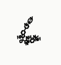 Cc1nc2cc(-n3ncc(C(=O)c4cc5cc(-c6ccc(N7CCN(C)CC7)nc6)ccc5[nH]4)c3N)ccc2[nH]1